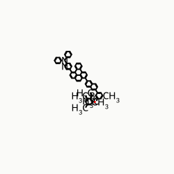 CB(c1c(C)cc(C)cc1C)c1c(C)cc(C)cc1-c1ccc2cc(-c3ccc4c5ccccc5c5c(-c6ccc(N(c7ccccc7)c7ccccc7)nc6)ccc6ccc3c4c65)ccc2c1